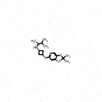 CC(C)[C@H](C)N[C@H]1C[C@@H](Oc2ccc(OC(C)(C)C)cn2)C1